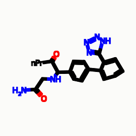 CCCC(=O)C(NCC(N)=O)c1ccc(-c2ccccc2-c2nnn[nH]2)cc1